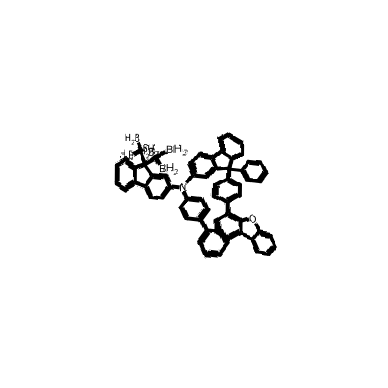 BC(B)(B)C1(C(B)(B)B)c2ccccc2-c2ccc(N(c3ccc(-c4ccccc4)cc3)c3ccc4c(c3)C(c3ccccc3)(c3ccc(-c5cccc6c5oc5ccccc56)cc3)c3ccccc3-4)cc21